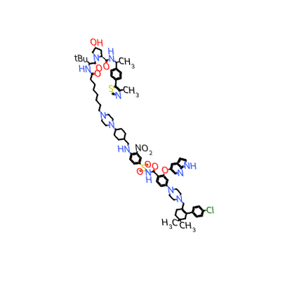 Cc1ncsc1-c1ccc([C@H](C)NC(=O)[C@@H]2C[C@@H](O)CN2C(=O)C(NC(=O)CCCCCCCN2CCN(C3CCC(CNc4ccc(S(=O)(=O)NC(=O)c5ccc(N6CCN(CC7=C(c8ccc(Cl)cc8)CC(C)(C)CC7)CC6)cc5Oc5cnc6[nH]ccc6c5)cc4[N+](=O)[O-])CC3)CC2)C(C)(C)C)cc1